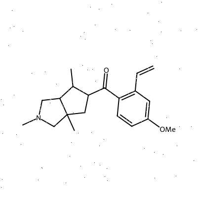 C=Cc1cc(OC)ccc1C(=O)C1CC2(C)CN(C)CC2C1C